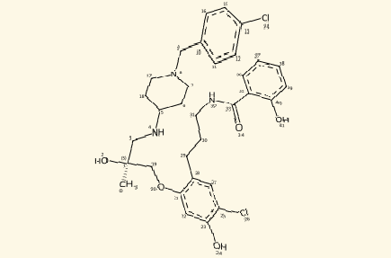 C[C@](O)(CNC1CCN(Cc2ccc(Cl)cc2)CC1)COc1cc(O)c(Cl)cc1CCCNC(=O)c1ccccc1O